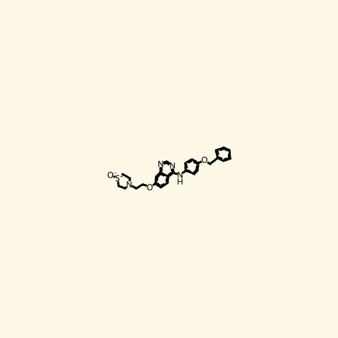 [O-][S+]1CCN(CCOc2ccc3c(Nc4ccc(OCc5ccccc5)cc4)ncnc3c2)CC1